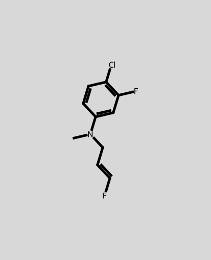 CN(CC=CF)c1ccc(Cl)c(F)c1